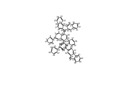 c1ccc(-c2ccc3c(-n4c5cc6ccccc6cc5c5c6ccccc6ccc54)cc(-c4ccccc4)c(-c4nc(-c5ccccc5)nc(-c5ccc6c(c5)sc5ccccc56)n4)c3c2)cc1